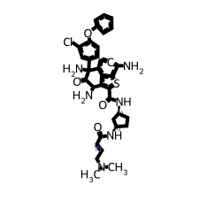 CN(C)C/C=C/C(=O)N[C@@H]1CC[C@H](NC(=O)c2sc3c(N)ccc4c3c2C(N)C(=O)C4(N)c2ccc(Oc3ccccc3)c(Cl)c2)C1